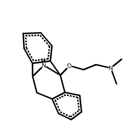 CN(C)CCOC12NC(Cc3ccccc31)c1ccccc12